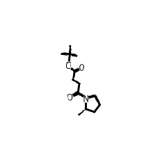 C[C@@H]1CCCN1C(=O)CCC(=O)OC(C)(C)C